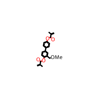 C=C(C)C(=O)Oc1ccc(-c2ccc(OC(=O)C(=C)C)c(COC)c2)cc1